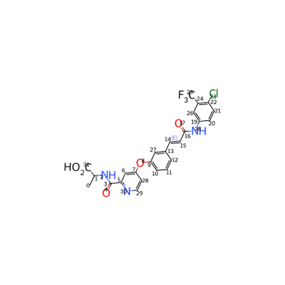 CC(NC(=O)c1cc(Oc2cccc(/C=C/C(=O)Nc3ccc(Cl)c(C(F)(F)F)c3)c2)ccn1)C(=O)O